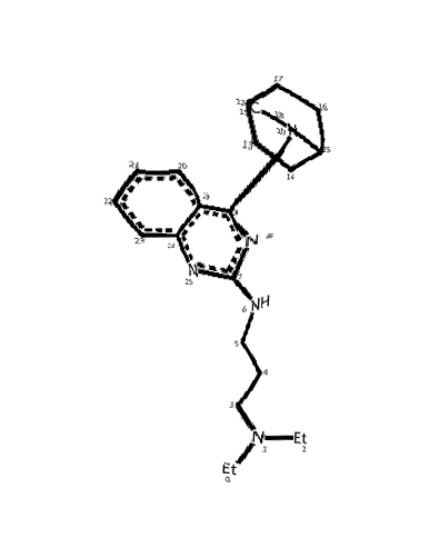 CCN(CC)CCCNc1nc(N2CC3CCC(CC3)C2)c2ccccc2n1